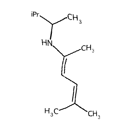 CC(C)=C/C=C(\C)NC(C)C(C)C